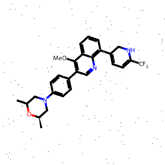 COc1c(-c2ccc(N3CC(C)O[C@H](C)C3)cc2)cnc2c(C3=CC=C(C(F)(F)F)NC3)cccc12